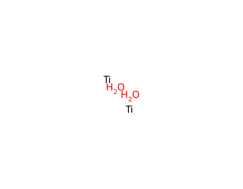 O.O.[Ti].[Ti]